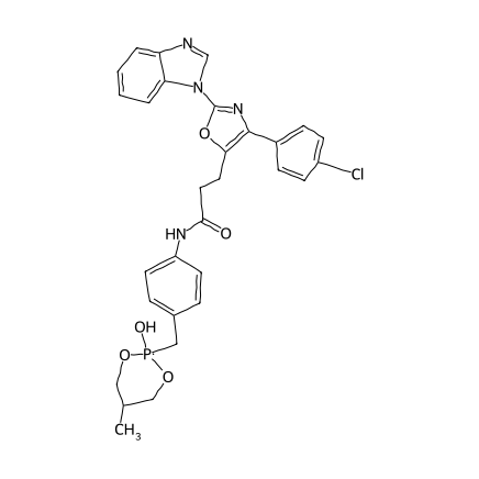 CC1CO[P](O)(Cc2ccc(NC(=O)CCc3oc(-n4cnc5ccccc54)nc3-c3ccc(Cl)cc3)cc2)OC1